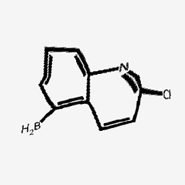 Bc1cccc2nc(Cl)ccc12